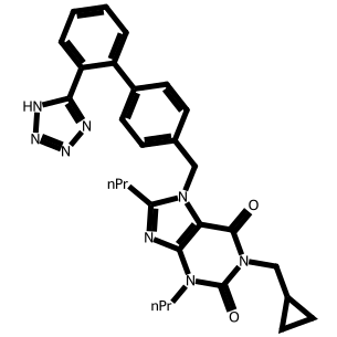 CCCc1nc2c(c(=O)n(CC3CC3)c(=O)n2CCC)n1Cc1ccc(-c2ccccc2-c2nnn[nH]2)cc1